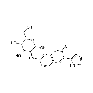 O=c1oc2cc(N[C@@H]3C(O)OC(CO)[C@@H](O)C3O)ccc2cc1-c1ccc[nH]1